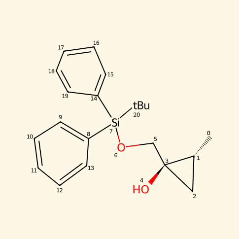 C[C@@H]1C[C@]1(O)CO[Si](c1ccccc1)(c1ccccc1)C(C)(C)C